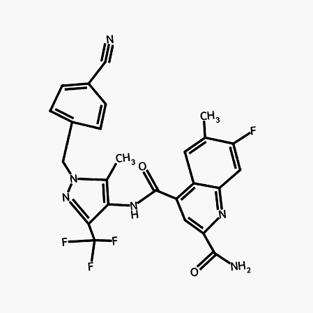 Cc1cc2c(C(=O)Nc3c(C(F)(F)F)nn(Cc4ccc(C#N)cc4)c3C)cc(C(N)=O)nc2cc1F